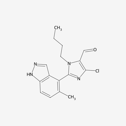 CCCCn1c(-c2c(C)ccc3[nH]ncc23)nc(Cl)c1C=O